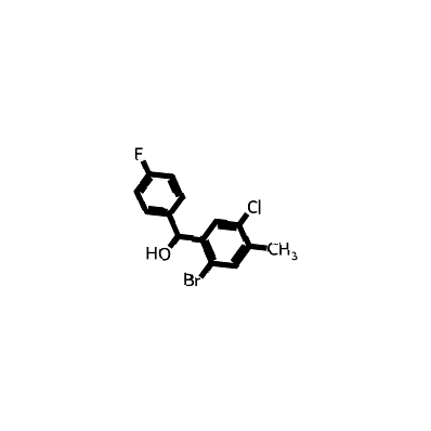 Cc1cc(Br)c(C(O)c2ccc(F)cc2)cc1Cl